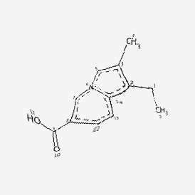 CCc1c(C)cn2cc(C(=O)O)ccc12